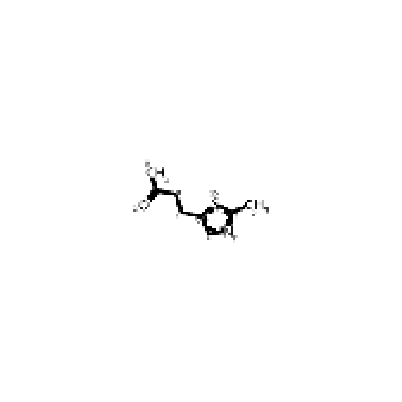 CC(=O)CCc1cnc(C)s1